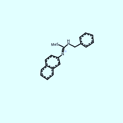 CS/C(=N\c1ccc2ccccc2c1)NCc1ccccc1